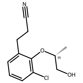 C[C@H](CO)Oc1c(Cl)cccc1CCC#N